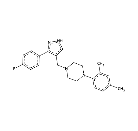 Cc1ccc(N2CCN(Cc3c[nH]nc3-c3ccc(F)cc3)CC2)c(C)c1